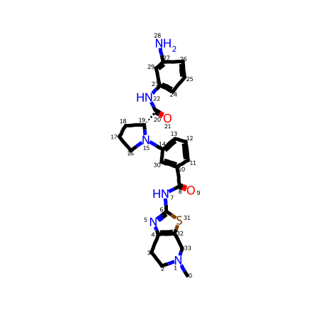 CN1CCc2nc(NC(=O)c3cccc(N4CCC[C@@H]4C(=O)Nc4cccc(N)c4)c3)sc2C1